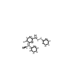 Cc1cnc(NCCc2ccccn2)nc1C(C#N)c1ccccn1